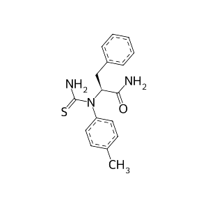 Cc1ccc(N(C(N)=S)[C@@H](Cc2ccccc2)C(N)=O)cc1